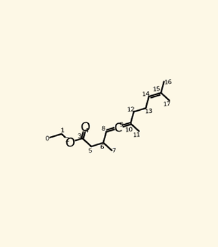 CCOC(=O)CC(C)C=C=C(C)CCC=C(C)C